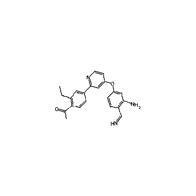 CCc1cc(-c2cc(Oc3ccc(C=N)c(N)c3)ccn2)ccc1C(C)=O